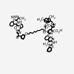 CN[C@@H](C)C(=O)N[C@H](C(=O)N1CCC[C@H]1c1nc(C(=O)c2cccc(OCCCCCCCCN(C)CCOC34CC5(C)CC(C)(CC(Cn6ncc(-c7ccc(N8CCCc9c8nnc(Nc8nc%10ccccc%10s8)c9C)nc7C(=O)O)c6C)(C5)C3)C4)c2)cs1)C1CCCCC1